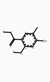 C=C(CC)c1cc(C)c(Cl)cc1CC